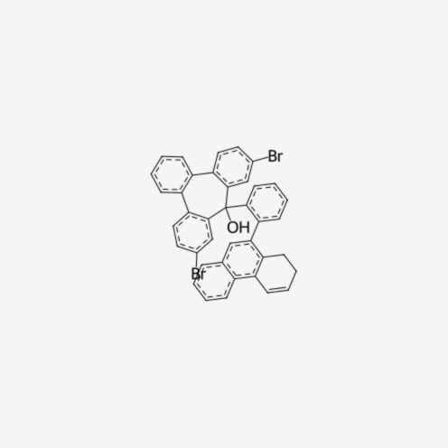 OC1(c2ccccc2-c2cc3ccccc3c3c2CCC=C3)c2cc(Br)ccc2-c2ccccc2-c2ccc(Br)cc21